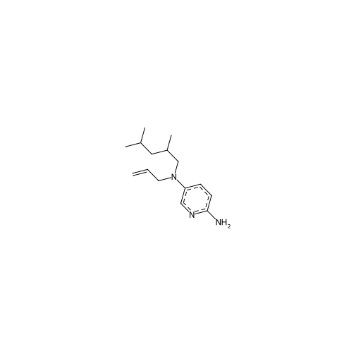 C=CCN(CC(C)CC(C)C)c1ccc(N)nc1